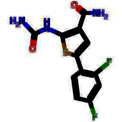 NC(=O)Nc1sc(-c2ccc(F)cc2F)cc1C(N)=O